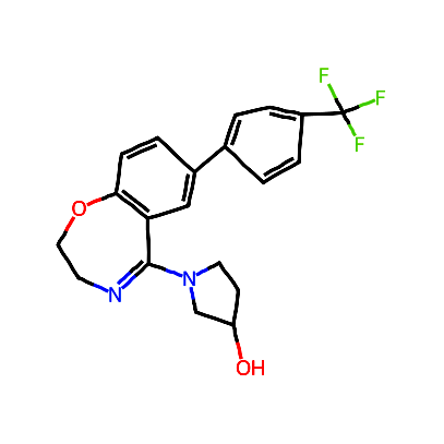 OC1CCN(C2=NCCOc3ccc(-c4ccc(C(F)(F)F)cc4)cc32)C1